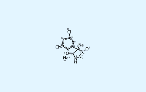 O=C1N[N-][N+](=O)[C]1([Na])c1cc(Cl)cc(Cl)c1.[Na+]